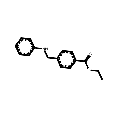 CCOC(=O)c1ccc(CNc2ccccc2)cc1